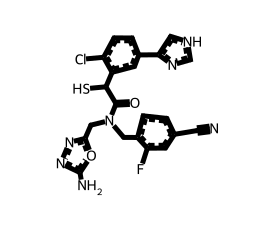 N#Cc1ccc(CN(Cc2nnc(N)o2)C(=O)C(S)c2cc(-c3c[nH]cn3)ccc2Cl)c(F)c1